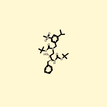 CC(C)c1cc(CN(C[C@@H](O)[C@H](Cc2ccccc2)NC(=O)OC(C)(C)C)C(=O)OC(C)(C)C)cc(S(C)(=O)=O)c1